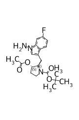 CC(=O)O[C@H]1CCN(C(=O)OC(C)(C)C)[C@@H]1Cc1cn(N)c2cc(F)ccc12